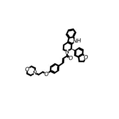 O=C(/C=C/c1ccc(OCCN2CCOCC2)cc1)N1CCc2c([nH]c3ccccc23)[C@H]1c1ccc2c(c1)CCO2